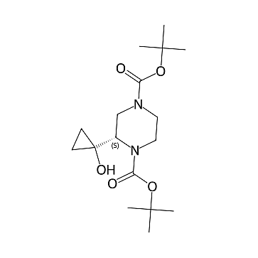 CC(C)(C)OC(=O)N1CCN(C(=O)OC(C)(C)C)[C@H](C2(O)CC2)C1